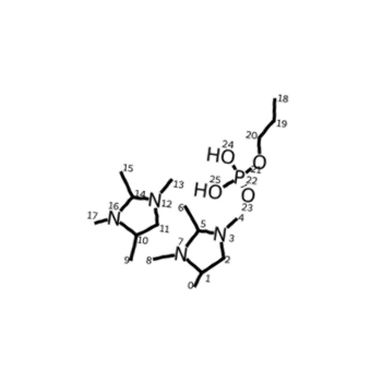 CC1CN(C)C(C)N1C.CC1CN(C)C(C)N1C.CCCOP(=O)(O)O